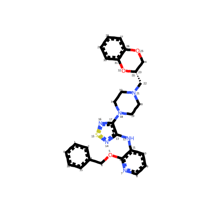 c1ccc(COc2ncccc2Nc2nsnc2N2CCN(C[C@H]3COc4ccccc4O3)CC2)cc1